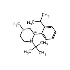 CC(C)c1ccccc1[C@H]1CN(C)CCN1C(C)(C)C